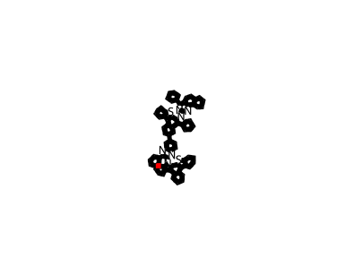 c1ccc(-c2nc3cc(-c4ccc5c(c4)c4c6ccccc6n(-c6nc(-c7ccccc7)c7ccc8ccccc8c7n6)c4c4sc6ccccc6c54)ccc3nc2-n2c3ccccc3c3c4ccccc4c4c5ccccc5sc4c32)cc1